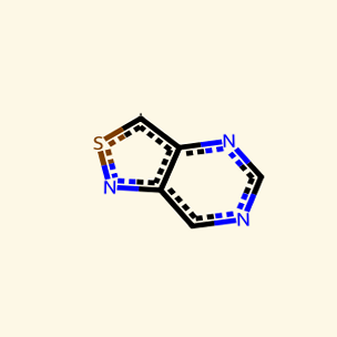 [c]1snc2cncnc12